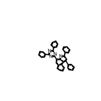 c1ccc(-c2cc(-c3ccccc3)c3c(n2)c(-c2nc(-c4ccccc4)nc(-c4ccccc4)n2)cc2ccccc23)cc1